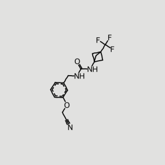 N#CCOc1cccc(CNC(=O)NC23CC(C(F)(F)F)(C2)C3)c1